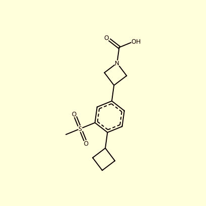 CS(=O)(=O)c1cc(C2CN(C(=O)O)C2)ccc1C1CCC1